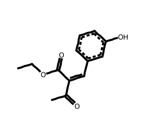 CCOC(=O)C(=Cc1cccc(O)c1)C(C)=O